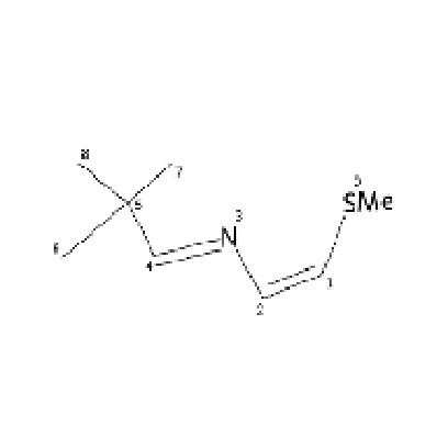 CS/C=C\N=C\C(C)(C)C